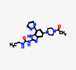 CCNC(=O)Nc1nc2cc(N3CCN(C(C)=O)CC3)cc(-c3ncccn3)c2[nH]1